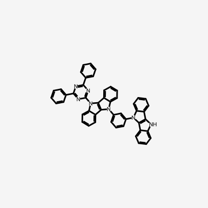 c1ccc(-c2nc(-c3ccccc3)nc(-n3c4ccccc4c4c3c3ccccc3n4-c3cccc(-n4c5ccccc5c5[nH]c6ccccc6c54)c3)n2)cc1